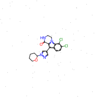 O=C1NCCn2c1c(-c1cnn(C3CCCCO3)c1)c1ccc(Cl)c(Cl)c12